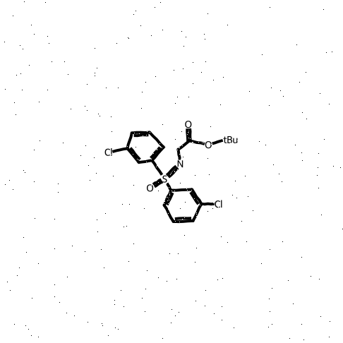 CC(C)(C)OC(=O)CN=S(=O)(c1cccc(Cl)c1)c1cccc(Cl)c1